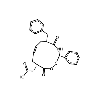 O=C(O)C[C@@H]1CC=CC[C@H](Cc2ccccc2)C(=O)N[C@H](c2ccccc2)COC1=O